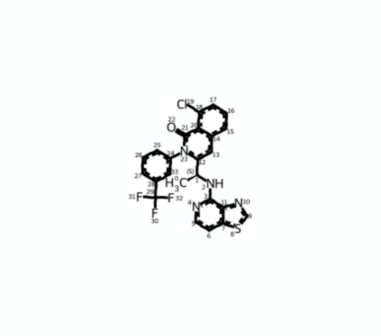 C[C@H](Nc1nccc2scnc12)c1cc2cccc(Cl)c2c(=O)n1-c1cccc(C(F)(F)F)c1